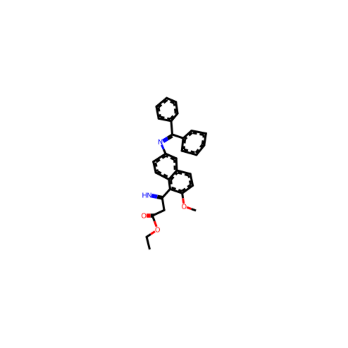 CCOC(=O)CC(=N)c1c(OC)ccc2cc(N=C(c3ccccc3)c3ccccc3)ccc12